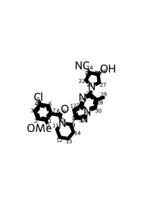 COc1ccc(Cl)cc1C(=O)N1CCCC[C@H]1c1cc2nc(N3C[C@@H](C#N)[C@@H](O)C3)c(C)cn2n1